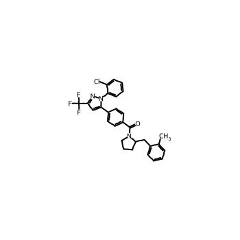 Cc1ccccc1CC1CCCN1C(=O)c1ccc(-c2cc(C(F)(F)F)nn2-c2ccccc2Cl)cc1